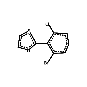 Clc1cccc(Br)c1-c1nccs1